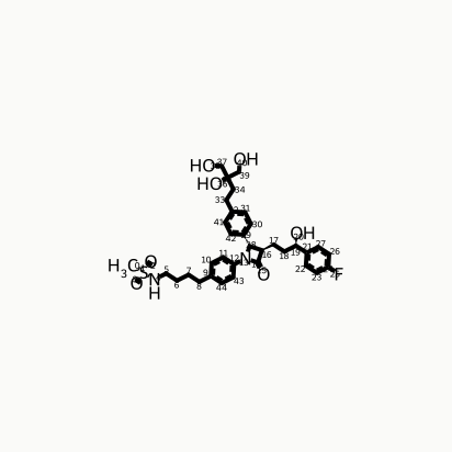 CS(=O)(=O)NCCCCc1ccc(N2C(=O)[C@H](CC[C@H](O)c3ccc(F)cc3)[C@H]2c2ccc(CCC(O)(CO)CO)cc2)cc1